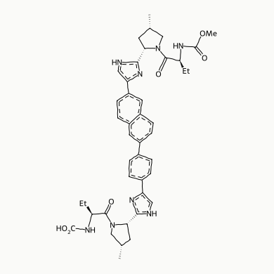 CC[C@H](NC(=O)O)C(=O)N1C[C@@H](C)C[C@H]1c1nc(-c2ccc(-c3ccc4cc(-c5c[nH]c([C@@H]6C[C@H](C)CN6C(=O)[C@H](CC)NC(=O)OC)n5)ccc4c3)cc2)c[nH]1